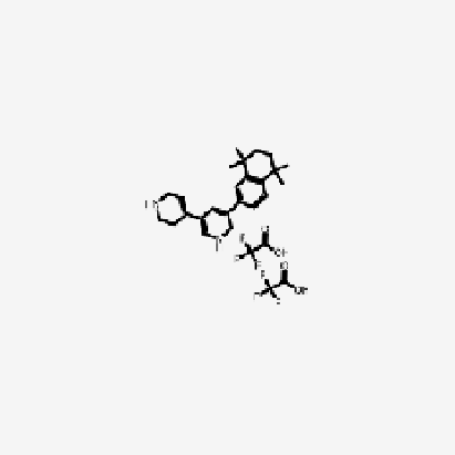 CC1(C)CCC(C)(C)c2cc(C3=CC(C4=CCNCC4)=CNC3)ccc21.O=C(O)C(F)(F)F.O=C(O)C(F)(F)F